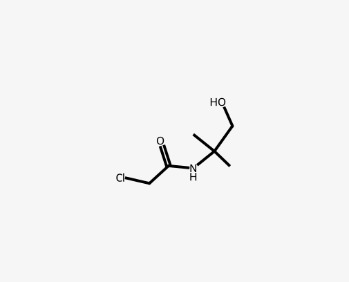 CC(C)(CO)NC(=O)CCl